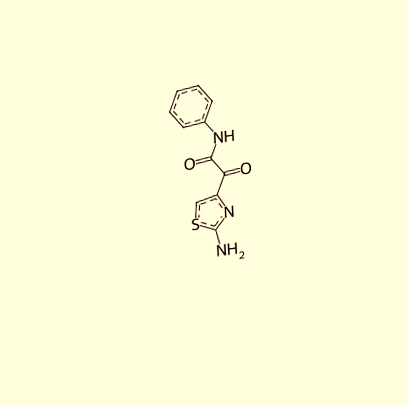 Nc1nc(C(=O)C(=O)Nc2ccccc2)cs1